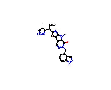 CC(=O)NC(c1nc2c(s1)c1cnn(Cc3cccc4[nH]ncc34)c(=O)c1n2C)c1n[nH]cc1C